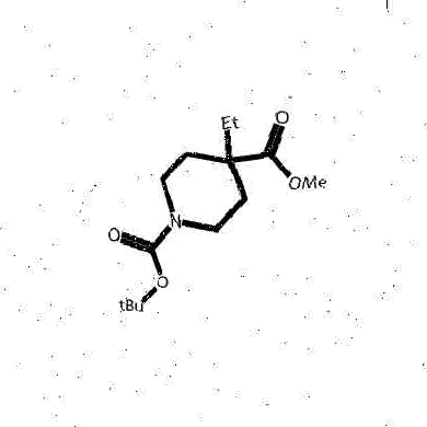 CCC1(C(=O)OC)CCN(C(=O)OC(C)(C)C)CC1